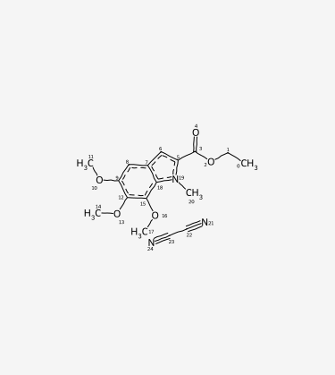 CCOC(=O)c1cc2cc(OC)c(OC)c(OC)c2n1C.N#CC#N